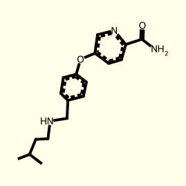 CC(C)CCNCc1ccc(Oc2ccc(C(N)=O)nc2)cc1